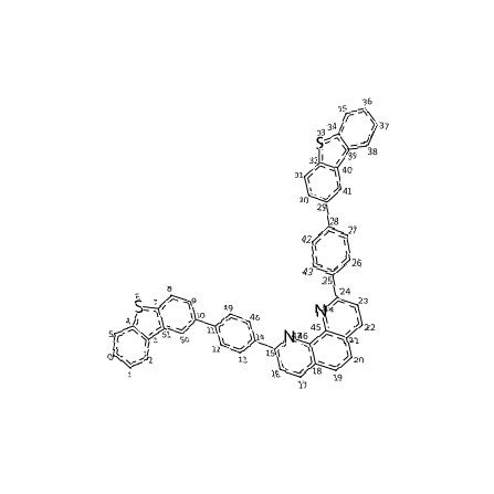 c1ccc2c(c1)sc1ccc(-c3ccc(-c4ccc5ccc6ccc(-c7ccc(-c8ccc9sc%10ccccc%10c9c8)cc7)nc6c5n4)cc3)cc12